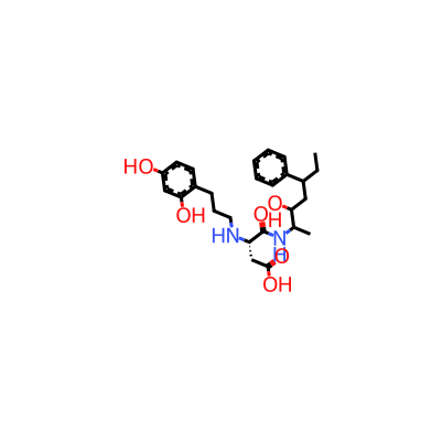 CCC(CC(O)C(C)NC(=O)[C@H](CC(=O)O)NCCCc1ccc(O)cc1O)c1ccccc1